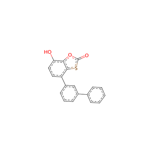 O=c1oc2c(O)ccc(-c3cccc(-c4ccccc4)c3)c2s1